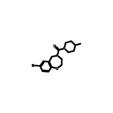 CC1CCN(C(=O)N2CCOc3ccc(Br)cc3C2)CC1